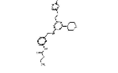 CCOC(=O)Nc1cccc(CNc2cc(N3CCOCC3)cc(CSc3nnc(CC)s3)n2)c1